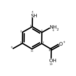 Cc1cc(S)c(N)c(C(=O)O)c1